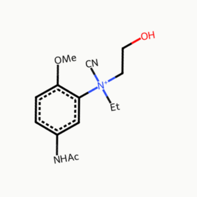 CC[N+](C#N)(CCO)c1cc(NC(C)=O)ccc1OC